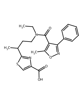 CCN(CCC(C)c1nc(C(=O)O)cs1)C(=O)c1c(-c2ccccc2)noc1C